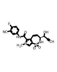 C#CC(O)[C@@H]1C=Cc2c(cn(C)c2C(=O)Nc2ccc(F)c(C#N)c2)S(=O)(=O)N1